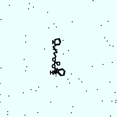 O=C(OCCSSc1ccccn1)On1[nH]c2ccccc21